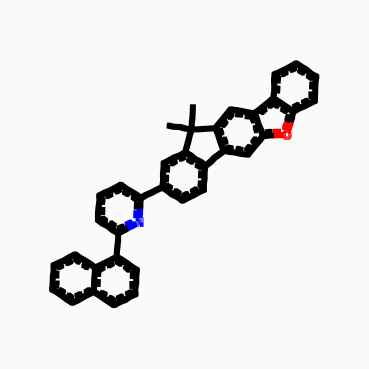 CC1(C)c2cc(-c3cccc(-c4cccc5ccccc45)n3)ccc2-c2cc3oc4ccccc4c3cc21